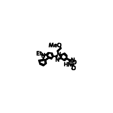 CCn1c2ccccc2c2cc(-c3nc4cc(-c5noc(=O)[nH]5)ccc4n3CCOC)ccc21